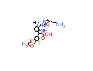 CC(Nc1ncc(CCCN)o1)c1cccc2c(-c3ccc(CS(C)(=O)=O)c(F)c3)c(C(=O)O)[nH]c12